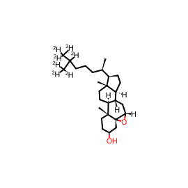 [2H]C([2H])([2H])C([2H])(CCC[C@@H](C)[C@H]1CC[C@H]2[C@@H]3C[C@@H]4O[C@@]45C[C@@H](O)CC[C@]5(C)[C@H]3CC[C@]12C)C([2H])([2H])[2H]